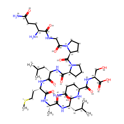 CSCC[C@H](NC(=O)[C@H](CC(C)C)NC(=O)[C@@H]1CCCN1C(=O)[C@@H]1CCCN1C(=O)CNC(=O)[C@@H](N)CCC(N)=O)C(=O)N[C@@H](C)C(=O)N[C@@H](CC(C)C)C(=O)N[C@@H](CCC(N)=O)C(=O)N[C@@H](CO)C(=O)O